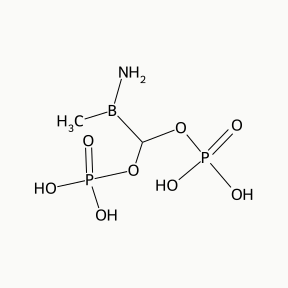 CB(N)C(OP(=O)(O)O)OP(=O)(O)O